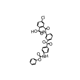 O=C(Nc1ccc(S(=O)(=O)c2cccc(NC(=O)c3cc(Cl)ccc3C(=O)O)c2)cc1)Oc1ccccc1